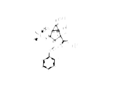 CC(C)(C)OC(=O)[C@@]1(C)[C@H]2[C@@H]([C@@H](OS(C)(=O)=O)[C@H]1CSc1ccccc1)[C@@H]2C(C)(C)C